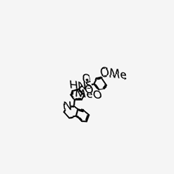 COc1ccc(OC)c(S(=O)(=O)Nc2ccc(C3=NCCc4ccccc43)cc2)c1